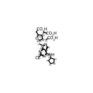 O=C(O)CC1O[C@@H](Cn2ncc3c(NC4CCCC4)nc(Cl)nc32)[C@@H](CC(=O)O)[C@@H]1CC(=O)O